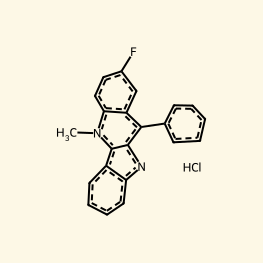 Cl.Cn1c2c3ccccc3nc-2c(-c2ccccc2)c2cc(F)ccc21